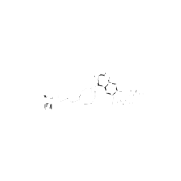 COc1cc2ncnc(N3CCCC(CCCO[PH](=O)O)CC3)c2cc1OC